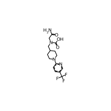 NC(=O)CN(CC1CCN(c2ccc(C(F)(F)F)cn2)CC1)C(=O)O